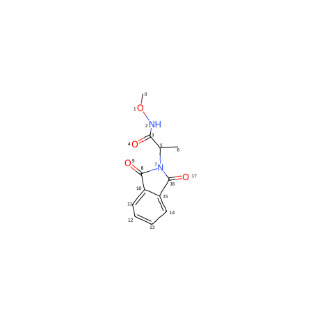 CONC(=O)C(C)N1C(=O)c2ccccc2C1=O